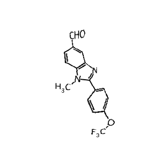 Cn1c(-c2ccc(OC(F)(F)F)cc2)nc2cc(C=O)ccc21